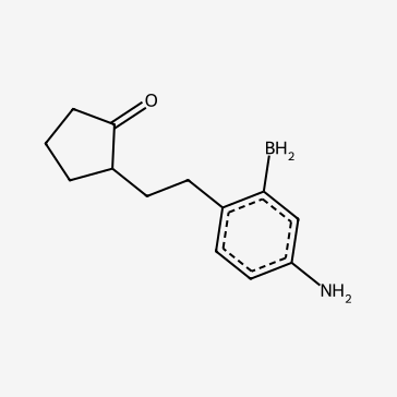 Bc1cc(N)ccc1CCC1CCCC1=O